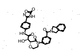 O=C(Nc1ccc(-c2noc(=O)[nH]2)cc1)[C@H](O)[C@H]1OCCN(c2cccc(C(=O)N3Cc4ccccc4C3)c2)C1=O